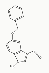 Cn1cc(C=O)c2cc(OCc3ccccc3)ccc21